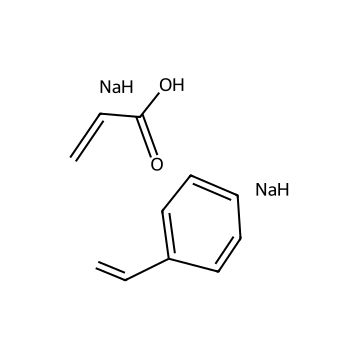 C=CC(=O)O.C=Cc1ccccc1.[NaH].[NaH]